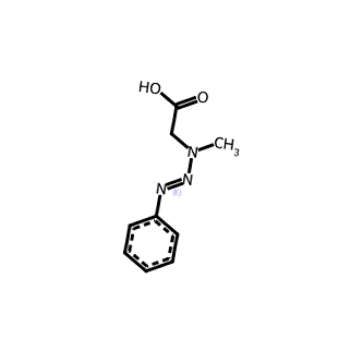 CN(CC(=O)O)/N=N/c1ccccc1